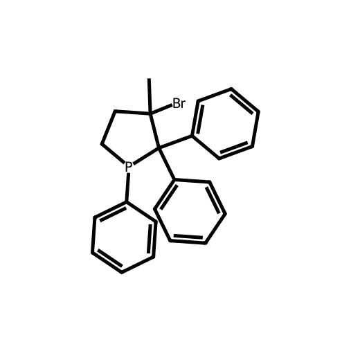 CC1(Br)CCP(c2ccccc2)C1(c1ccccc1)c1ccccc1